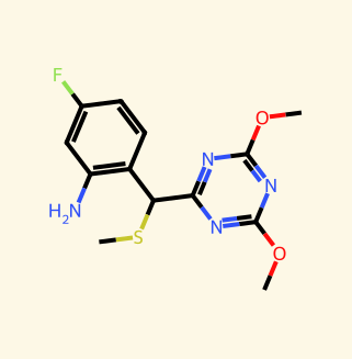 COc1nc(OC)nc(C(SC)c2ccc(F)cc2N)n1